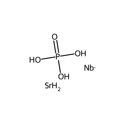 O=P(O)(O)O.[Nb].[SrH2]